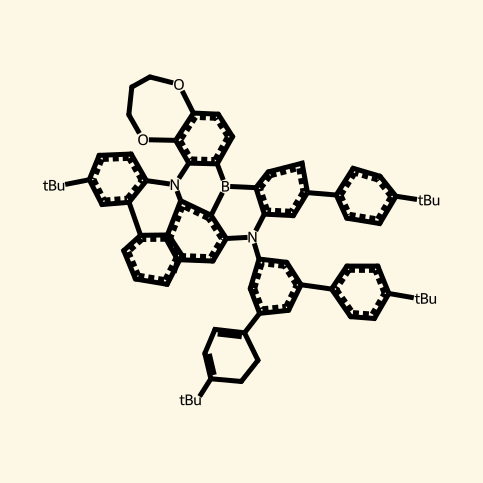 Cc1cc2c3c(c1)N(c1ccc(C(C)(C)C)cc1-c1ccccc1)c1c(ccc4c1OCCCO4)B3c1ccc(-c3ccc(C(C)(C)C)cc3)cc1N2c1cc(C2=CC=C(C(C)(C)C)CC2)cc(-c2ccc(C(C)(C)C)cc2)c1